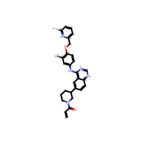 C=CC(=O)N1CCCC(c2ccc3ncnc(Nc4ccc(OCc5cccc(F)n5)c(Cl)c4)c3c2)C1